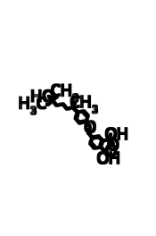 CCC(O)(CC)CCCC(C)c1ccc(OCc2ccc(C(=O)O)c(C(=O)O)c2)cc1